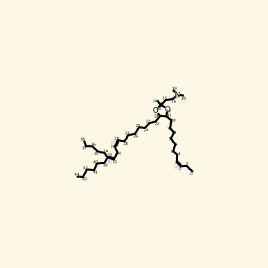 CC/C=C\CCCCCCCC1OC(C)(CCN(C)C)OC1CCCCCCC/C=C\C/C=C(\CCCCC)CCCCCC